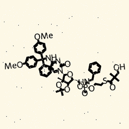 COc1ccc(C(Nc2ccn([C@@H]3O[C@H](COP(=O)(NCc4ccccc4)OCCSC(=O)C(C)(C)CO)C4OC(C)(C)O[C@@]43C)c(=O)n2)(c2ccccc2)c2ccc(OC)cc2)cc1